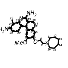 COc1cc2c(cc1OCCN1CCCCCC1)ncc1c(N)nc3c(C)c(N)ccc3c12